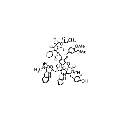 C=CC(=O)OCC(C)(C)C(=O)C(=O)N1CCCC[C@H]1C(=O)O[C@H](CCc1ccc(OC)c(OC)c1)c1cccc(OCC(=O)N(C)[C@@H](Cc2ccc(O)cc2)C(=O)N[C@H](Cc2ccccc2)C(=O)N(C)CC(=O)N[C@H](Cc2ccccc2)C(=O)N(C)CCC)c1F